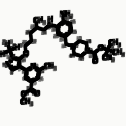 [2H]C([2H])([2H])n1ncc(-c2cc(C(=O)OC)cc(C)n2)c1OCCCC(C)CNc1cc(CN2CCN(C(=O)OC(C)(C)C)CC2)ccc1N